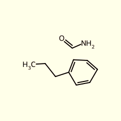 CCCc1ccccc1.NC=O